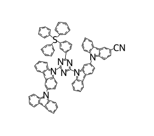 N#Cc1ccc2c(c1)c1ccccc1n2-c1ccc2c3ccccc3n(-c3nc(-c4cccc(S(c5ccccc5)(c5ccccc5)c5ccccc5)c4)nc(-n4c5ccccc5c5cc(-n6c7ccccc7c7ccccc76)ccc54)n3)c2c1